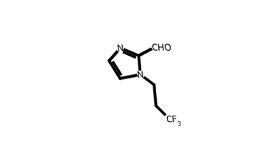 O=Cc1nccn1CCC(F)(F)F